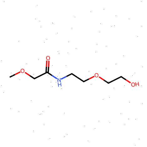 COCC(=O)NCCOCCO